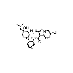 CN(C)CC1(O)CCN(c2ccncc2NC(=O)c2c(N)nn3cc(Cl)cnc23)CC1